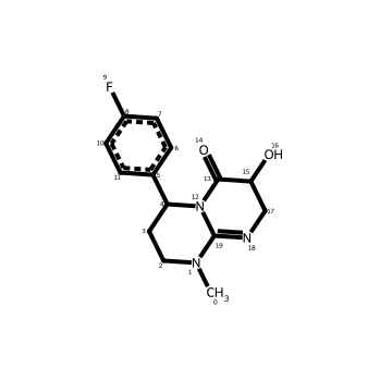 CN1CCC(c2ccc(F)cc2)N2C(=O)C(O)CN=C12